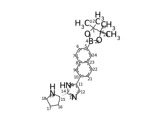 CC1(C)OB(c2ccc3cc(-c4cnc([C@@H]5CCCN5)[nH]4)ccc3c2)OC1(C)C